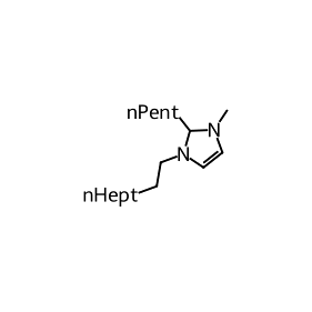 CCCCCCCCCN1C=CN(C)C1CCCCC